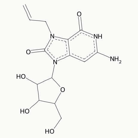 C=CCn1c(=O)n(C2OC(CO)C(O)C2O)c2cc(N)[nH]c(=O)c21